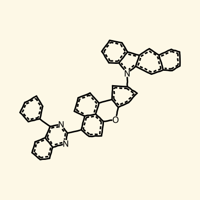 c1ccc(-c2nc(-c3ccc4c5c(cccc35)-c3cc(-n5c6ccccc6c6cc7ccccc7cc65)ccc3O4)nc3ccccc23)cc1